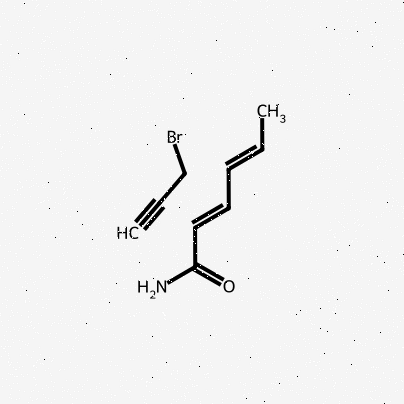 C#CCBr.CC=CC=CC(N)=O